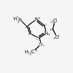 COc1cc(N)ncn1.ClCCl